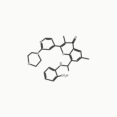 Cc1cc(C(C)Nc2ccccc2C(=O)O)c2oc(-c3ccnc(N4CCOCC4)c3)c(C)c(=O)c2c1